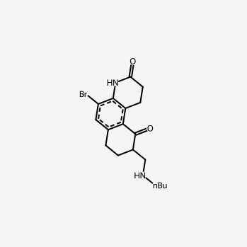 CCCCNCC1CCc2cc(Br)c3c(c2C1=O)CCC(=O)N3